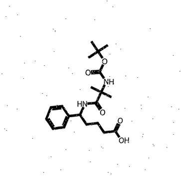 CC(C)(C)OC(=O)NC(C)(C)C(=O)NC(CCCC(=O)O)c1ccccc1